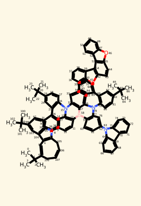 CC(C)(C)/C1=C/c2c(n(-c3ccc4c(c3)N(c3ccc(C(C)(C)C)cc3-c3ccccc3)c3cc(-c5cccc6c5oc5ccc7oc8ccccc8c7c56)cc5c3B4c3ccc(-n4c6ccccc6c6ccccc64)cc3N5c3ccc(C(C)(C)C)cc3-c3ccccc3)c3ccc(C(C)(C)C)cc23)C/C=C\C1